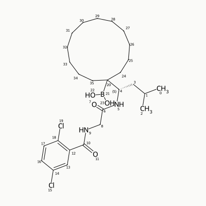 CC(C)C[C@H](NC(=O)CNC(=O)c1cc(Cl)ccc1Cl)C1(B(O)O)CCCCCCCCCCCC1